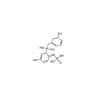 O=P(O)(O)/N=C1\C=CC(O)=CC1C(O)(O)Cc1cccc(O)c1